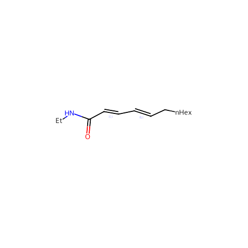 CCCCCCC/C=C/C=C/C(=O)NCC